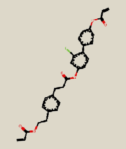 C=CC(=O)OCCc1ccc(CCC(=O)Oc2ccc(-c3ccc(OC(=O)C=C)cc3)c(F)c2)cc1